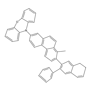 Cc1c(-c2cc3c(cc2-c2ccccc2)C=CCC3)ccc2c1ccc1cc(N3c4ccccc4Oc4ccccc43)ccc12